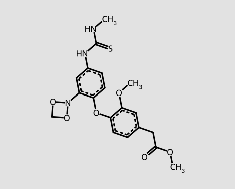 CNC(=S)Nc1ccc(Oc2ccc(CC(=O)OC)cc2OC)c(N2OCO2)c1